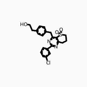 O=S1(=O)CCCc2nc(-c3cccc(Cl)c3)nc(Cc3ccc(CCO)cc3)c21